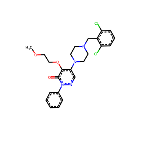 COCCOc1c(N2CCN(Cc3c(Cl)cccc3Cl)CC2)cnn(-c2ccccc2)c1=O